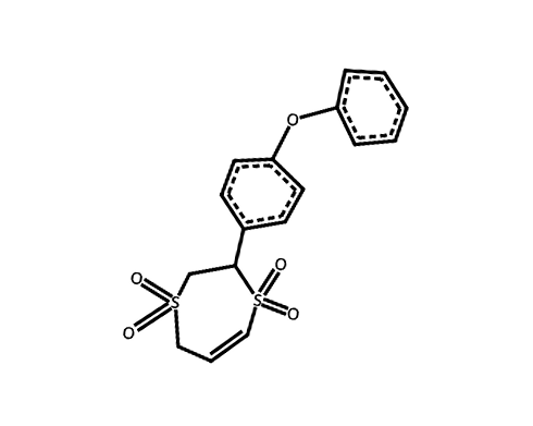 O=S1(=O)CC=CS(=O)(=O)C(c2ccc(Oc3ccccc3)cc2)C1